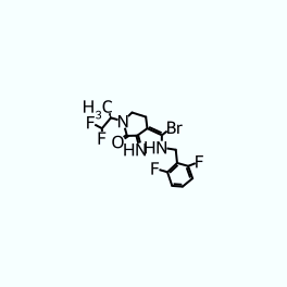 C[C@H](C(F)F)N1CC/C(=C(\Br)NCc2c(F)cccc2F)C(=N)C1=O